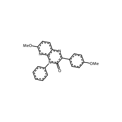 COc1ccc(-c2nc3ccc(OC)nc3n(-c3ccccc3)c2=O)cc1